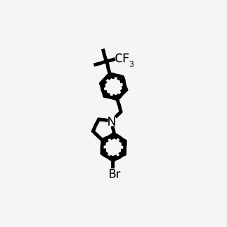 CC(C)(c1ccc(CN2CCc3cc(Br)ccc32)cc1)C(F)(F)F